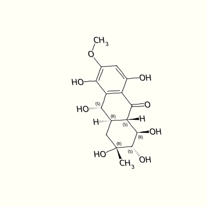 COc1cc(O)c2c(c1O)[C@@H](O)[C@@H]1C[C@@](C)(O)[C@@H](O)[C@H](O)[C@H]1C2=O